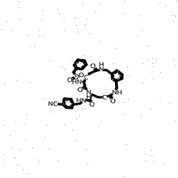 N#Cc1ccc(CNC(=O)[C@@H]2CCC(=O)NCc3cccc(c3)CNC(=O)CC[C@@H](NS(=O)(=O)Cc3ccccc3)C(=O)N2)cc1